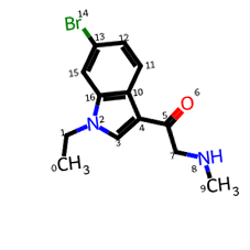 CCn1cc(C(=O)CNC)c2ccc(Br)cc21